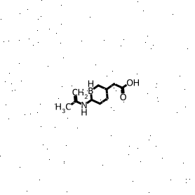 C=C(C)NC1BCC(CC(=O)O)CC1